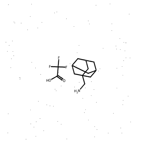 NCC12CC3CC(CC(C3)C1)C2.O=C(O)C(F)(F)F